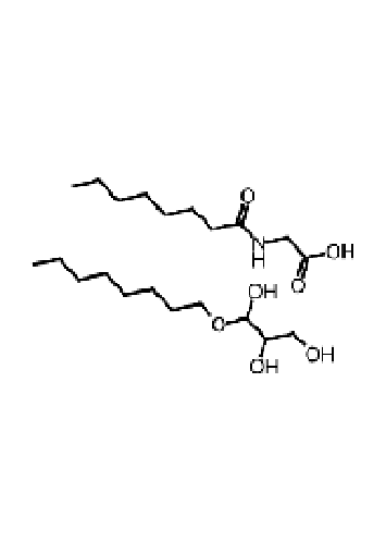 CCCCCCCC(=O)NCC(=O)O.CCCCCCCCOC(O)C(O)CO